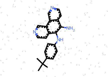 CC(C)(C)c1ccc(Nc2c(N)c3ccncc3c3cnccc23)cc1